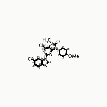 CO[C@H]1CC[C@H](n2c(=O)n(C)c3c(Cl)nc(-n4cnc5ccc(Cl)cc54)nc32)CC1